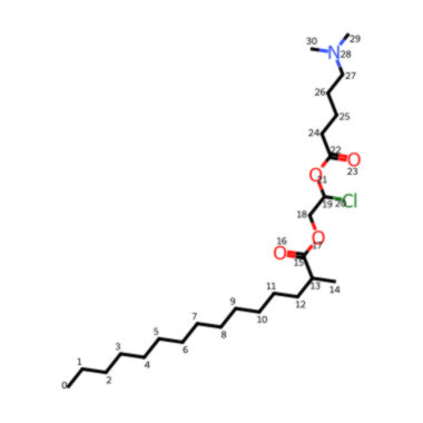 CCCCCCCCCCCCCC(C)C(=O)OCC(Cl)OC(=O)CCCCN(C)C